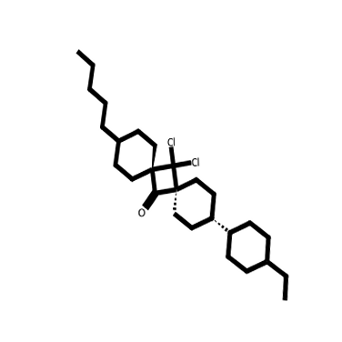 CCCCCC1CC[C@]2(CC1)C(=O)[C@@]1(CC[C@@H](C3CCC(CC)CC3)CC1)C2(Cl)Cl